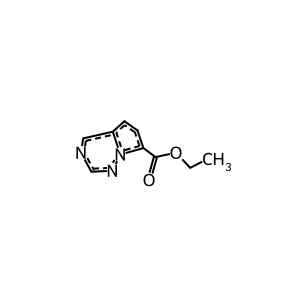 CCOC(=O)c1ccc2cncnn12